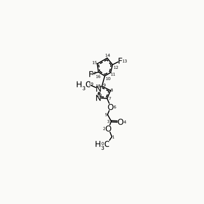 CCOC(=O)COc1cc(-c2cc(F)ccc2F)n(C)n1